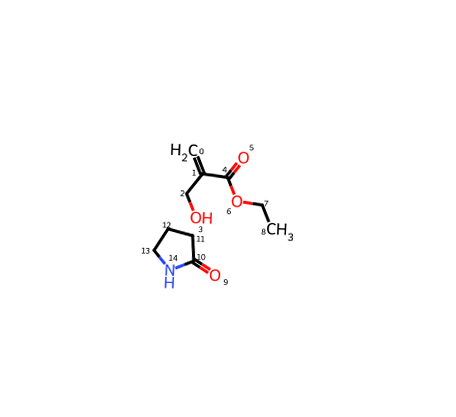 C=C(CO)C(=O)OCC.O=C1CCCN1